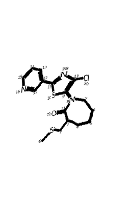 CSCC1CCCCN(c2sc(-c3cccnc3)nc2Cl)C1=O